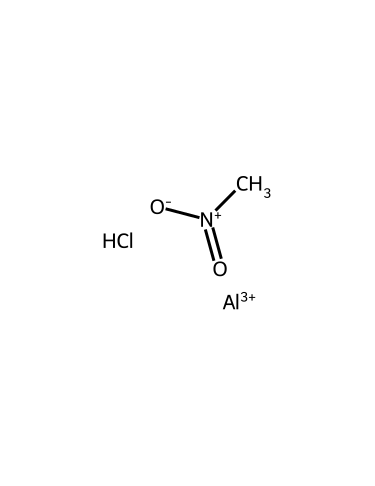 C[N+](=O)[O-].Cl.[Al+3]